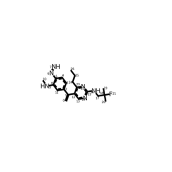 C=C(c1ccc(N=N)c(NC)c1)c1cnc(NCC(C)(C)F)nc1CCC